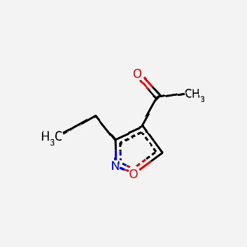 CCc1nocc1C(C)=O